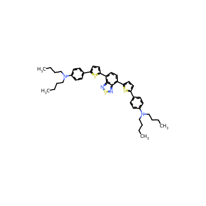 CCCCN(CCCC)c1ccc(-c2ccc(-c3ccc(-c4ccc(-c5ccc(N(CCCC)CCCC)cc5)s4)c4nsnc34)s2)cc1